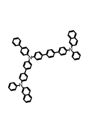 c1ccc(-c2ccc(N(c3ccc(-c4ccc(-c5ccc(N(c6ccccc6)c6ccc7ccccc7c6)cc5)cc4)cc3)c3ccc(-c4ccc(N(c5ccccc5)c5ccc6ccccc6c5)cc4)cc3)cc2)cc1